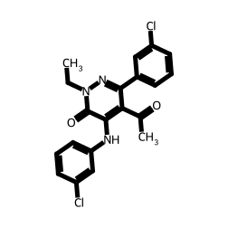 CCn1nc(-c2cccc(Cl)c2)c(C(C)=O)c(Nc2cccc(Cl)c2)c1=O